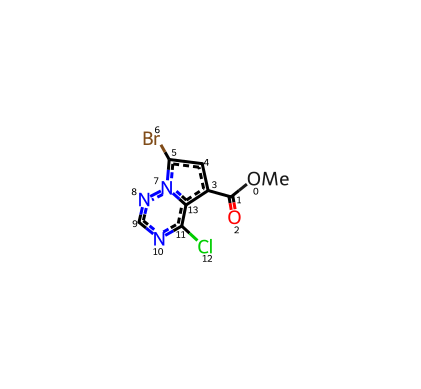 COC(=O)c1cc(Br)n2ncnc(Cl)c12